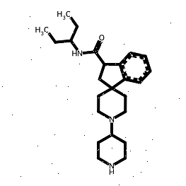 CCC(CC)NC(=O)C1CC2(CCN(C3CCNCC3)CC2)c2ccccc21